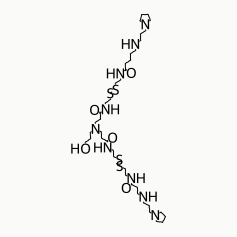 O=C(CCCCNCCCN1CCCC1)NCCSSCCNC(=O)CCN(CCCO)CCC(=O)NCCSSCCNC(=O)CCNCCCN1CCCC1